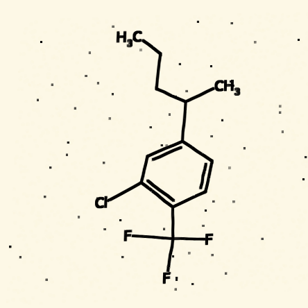 CCCC(C)c1ccc(C(F)(F)F)c(Cl)c1